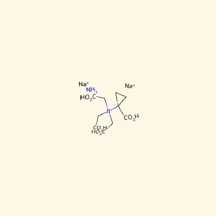 N.O=C(O)C[N+](CC(=O)O)(CC(=O)O)C1(C(=O)O)CC1.[Na+].[Na+]